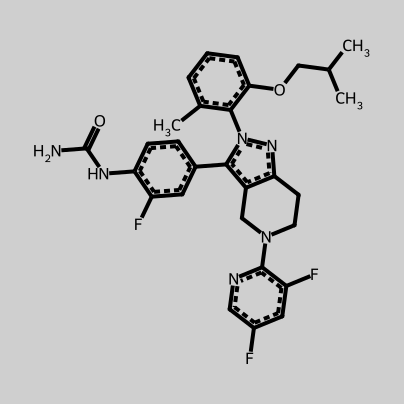 Cc1cccc(OCC(C)C)c1-n1nc2c(c1-c1ccc(NC(N)=O)c(F)c1)CN(c1ncc(F)cc1F)CC2